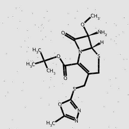 CO[C@@]1(N)C(=O)N2C(C(=O)OC(C)(C)C)=C(CSc3nnc(C)o3)CS[C@H]21